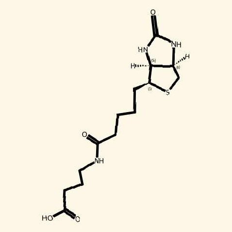 O=C(O)CCCNC(=O)CCCC[C@@H]1SC[C@@H]2NC(=O)N[C@@H]21